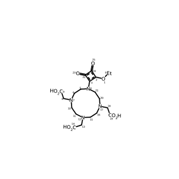 CCOc1c(N2CCN(CC(=O)O)CCN(CC(=O)O)CCN(CC(=O)O)CC2)c(=O)c1=O